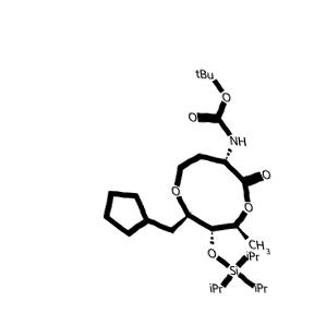 CC(C)[Si](O[C@H]1[C@H](C)OC(=O)[C@@H](NC(=O)OC(C)(C)C)CCO[C@@H]1CC1CCCC1)(C(C)C)C(C)C